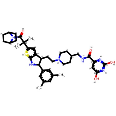 Cc1cc(C)cc(C2Nc3sc(C(C)(C)C(=O)N4C5CCC4CC5)cc3C2CCN2CCC(CNC(=O)c3cc(O)nc(O)n3)CC2)c1